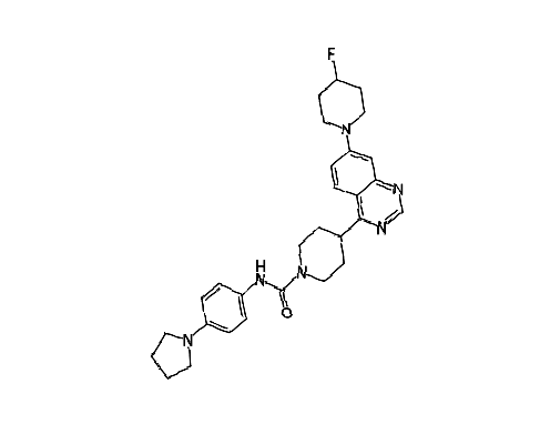 O=C(Nc1ccc(N2CCCC2)cc1)N1CCC(c2ncnc3cc(N4CCC(F)CC4)ccc23)CC1